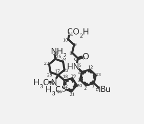 CCC(C)c1ccc(NC(=O)CCCC(=O)O)cc1.CN(C)C1(c2cccs2)CCC(N)CC1